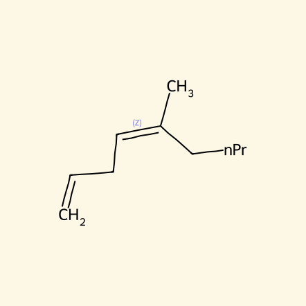 C=CC/C=C(/C)CCCC